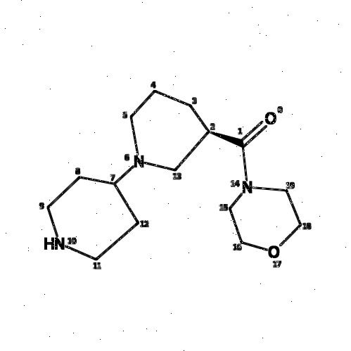 O=C([C@@H]1CCCN(C2CCNCC2)C1)N1CCOCC1